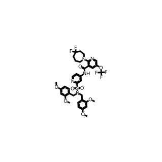 COc1ccc(CN(Cc2ccc(OC)cc2OC)S(=O)(=O)c2cc(NC(=O)c3cc(OC(F)(F)F)cnc3N3CCCC(F)(F)CC3)ccn2)c(OC)c1